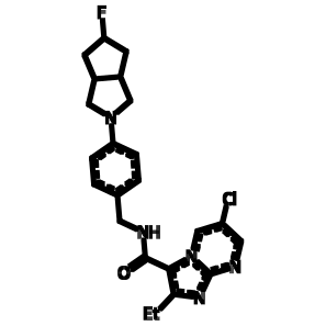 CCc1nc2ncc(Cl)cn2c1C(=O)NCc1ccc(N2CC3CC(F)CC3C2)cc1